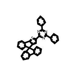 c1ccc(-c2nc(-c3ccccc3)nc(-c3cc4c(s3)-c3ccccc3C43c4ccccc4-c4ccccc43)n2)cc1